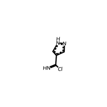 N=C(Cl)c1cn[nH]c1